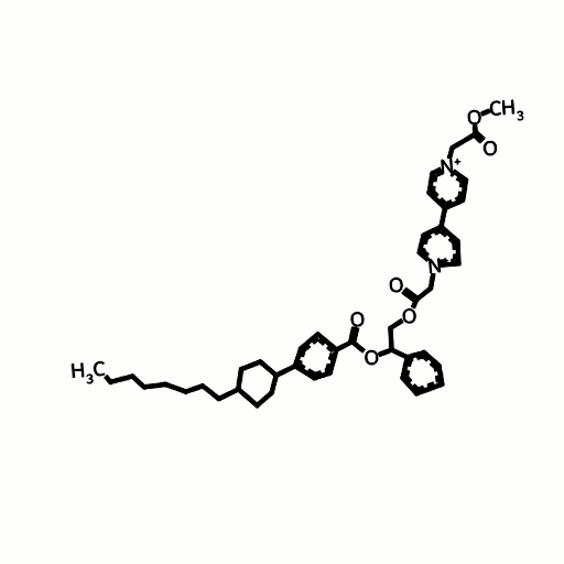 CCCCCCCCC1CCC(c2ccc(C(=O)OC(COC(=O)C[n+]3ccc(-c4cc[n+](CC(=O)OC)cc4)cc3)c3ccccc3)cc2)CC1